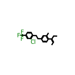 C/C=C(/CC)c1ccc(CCc2ccc(C(F)(F)F)cc2Cl)cc1C